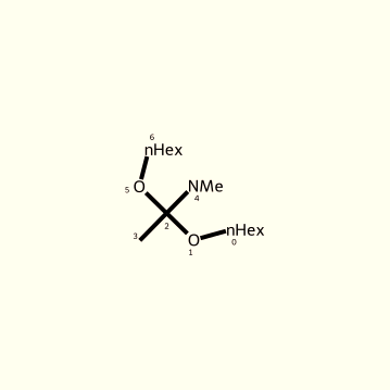 CCCCCCOC(C)(NC)OCCCCCC